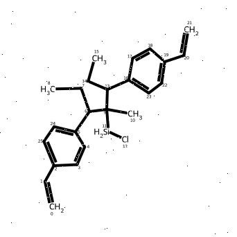 C=Cc1ccc(C(CC)C(C)([SiH2]Cl)C(CC)c2ccc(C=C)cc2)cc1